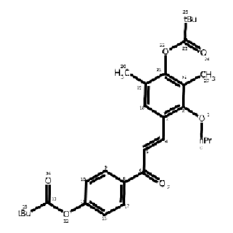 CCCOc1c(C=CC(=O)c2ccc(OC(=O)C(C)(C)C)cc2)cc(C)c(OC(=O)C(C)(C)C)c1C